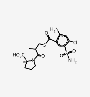 CC(CSC(=O)c1cc(S(N)(=O)=O)c(Cl)cc1N)C(=O)N1CCC[C@H]1C(=O)O